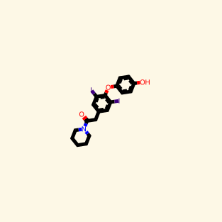 O=C(Cc1cc(I)c(Oc2ccc(O)cc2)c(I)c1)N1CCCCC1